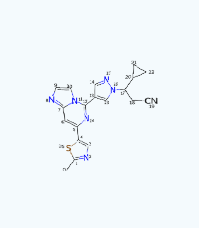 Cc1ncc(-c2cc3nccn3c(-c3cnn(C(CC#N)C4CC4)c3)n2)s1